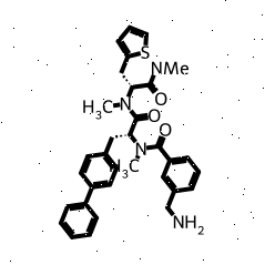 CNC(=O)[C@@H](Cc1cccs1)N(C)C(=O)[C@@H](Cc1ccc(-c2ccccc2)cc1)N(C)C(=O)c1cccc(CN)c1